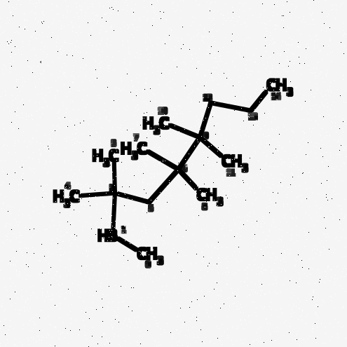 CBC(C)(C)CC(C)(C)C(C)(C)CCC